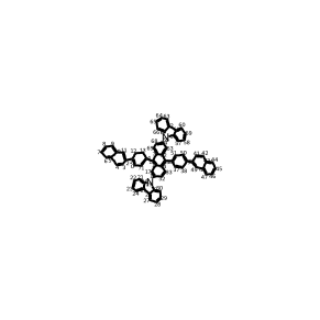 C1=C(c2ccc3ccccc3c2)CCC(c2c3cc(-n4c5ccccc5c5ccccc54)ccc3c(-c3ccc(-c4ccc5ccccc5c4)cc3)c3cc(-n4c5ccccc5c5ccccc54)ccc23)=C1